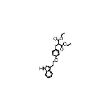 CCOC(=O)C(Cc1ccc(OCCc2c[nH]c3ccccc23)cc1)C(=O)OCC